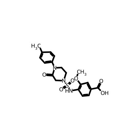 COc1cc(C(=O)O)ccc1NS(=O)(=O)N1CCN(c2ccc(C)cc2)C(=O)C1